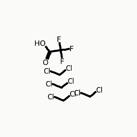 ClCCl.ClCCl.ClCCl.ClCCl.O=C(O)C(F)(F)F